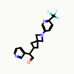 O=CC(c1cccnc1)C1CC2(C1)CN(c1ccc(C(F)(F)F)nc1)C2